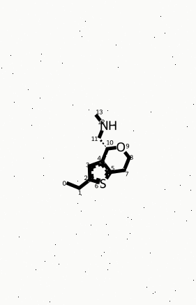 CCc1cc2c(s1)CCO[C@H]2CNC